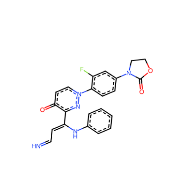 N=C/C=C(\Nc1ccccc1)c1nn(-c2ccc(N3CCOC3=O)cc2F)ccc1=O